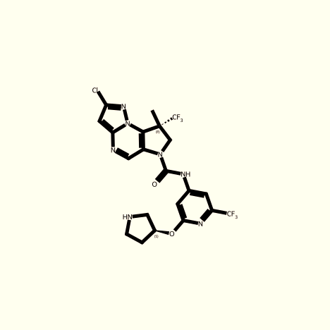 C[C@@]1(C(F)(F)F)CN(C(=O)Nc2cc(O[C@H]3CCNC3)nc(C(F)(F)F)c2)c2cnc3cc(Cl)nn3c21